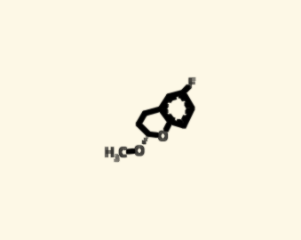 CO[C@@H]1CCc2cc(F)ccc2O1